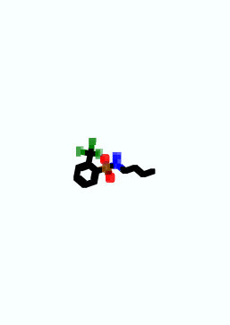 CCCCNS(=O)(=O)c1ccccc1C(F)(F)F